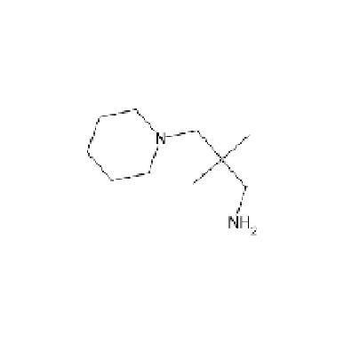 CC(C)(CN)CN1CCCCC1